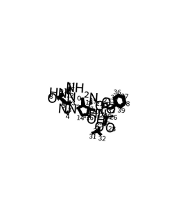 C=C1[C@@H](n2cnc3c(=O)[nH]c(N)nc32)C[C@H](O)[C@@]1(C#N)COP(=O)(N[C@@H](C)C(=O)OC(C)C)Oc1ccccc1